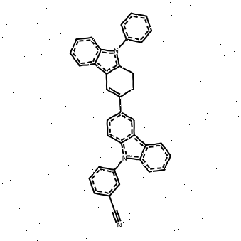 N#Cc1cccc(-n2c3ccccc3c3cc(C4=Cc5c(n(-c6ccccc6)c6ccccc56)CC4)ccc32)c1